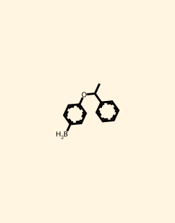 Bc1ccc(OC(C)c2ccccc2)cc1